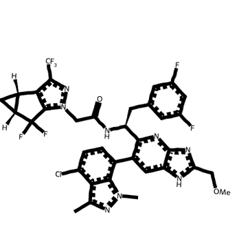 COCc1nc2nc([C@H](Cc3cc(F)cc(F)c3)NC(=O)Cn3nc(C(F)(F)F)c4c3C(F)(F)[C@@H]3C[C@H]43)c(-c3ccc(Cl)c4c(C)nn(C)c34)cc2[nH]1